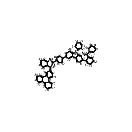 c1ccc(-c2nc3c(ccc4c5cc(-c6ccc(-c7nc(-c8ccc9c%10ccccc%10c%10ccccc%10c9c8)c8ccccc8n7)cc6)ccc5n(-c5ccccc5)c43)c3ccccc23)cc1